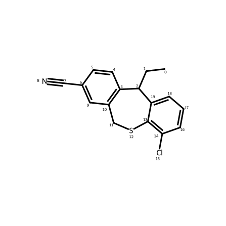 CCC1c2ccc(C#N)cc2CSc2c(Cl)cccc21